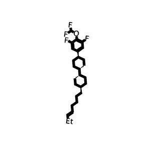 CC/C=C/CCCC[C@H]1CC[C@H]([C@H]2CC[C@H](c3cc(F)c(OC(F)F)c(F)c3)CC2)CC1